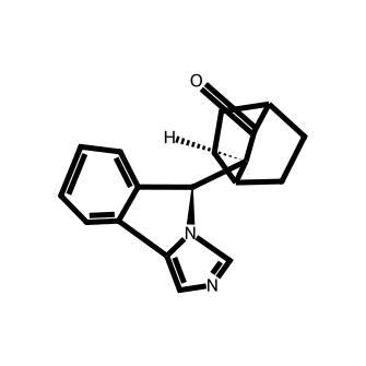 O=C1C2CCC(CC2)[C@H]1[C@@H]1c2ccccc2-c2cncn21